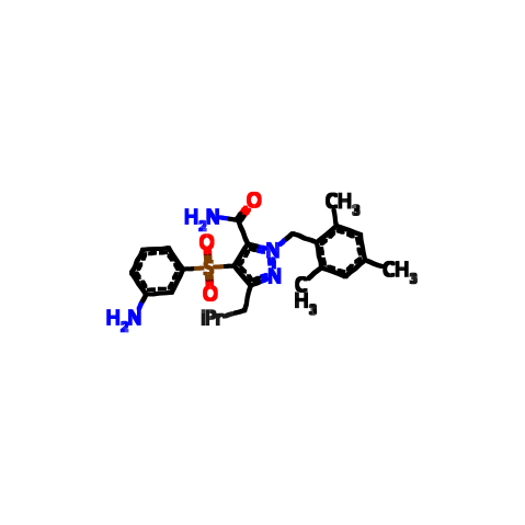 Cc1cc(C)c(Cn2nc(CC(C)C)c(S(=O)(=O)c3cccc(N)c3)c2C(N)=O)c(C)c1